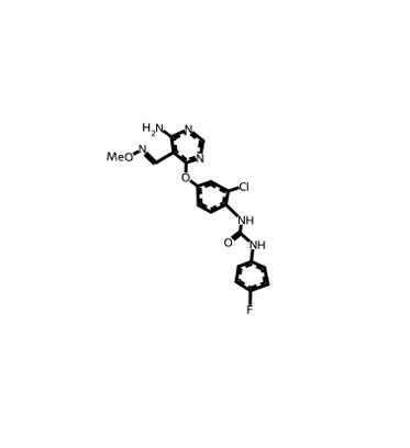 CON=Cc1c(N)ncnc1Oc1ccc(NC(=O)Nc2ccc(F)cc2)c(Cl)c1